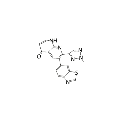 Cn1ncc(-c2nc3[nH]ccc(=O)c3cc2-c2ccc3ncsc3c2)n1